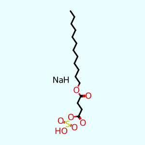 CCCCCCCCCCCCOC(=O)CCC(=O)OS(=O)(=O)O.[NaH]